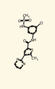 Cc1sc(C(=O)Nc2cc(Cl)cc(NS(C)(=O)=O)c2)cc1-c1ncccn1